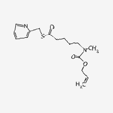 C=CCOC(=O)N(C)CCCCC(=O)SCc1ccccn1